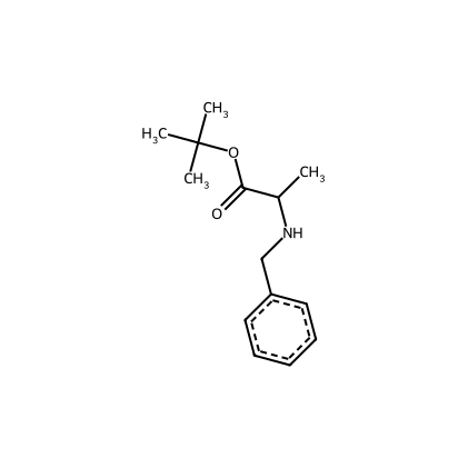 CC(NCc1ccccc1)C(=O)OC(C)(C)C